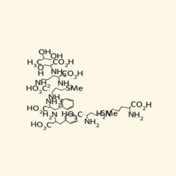 CC(O)CO.CSCC[C@H](N)C(=O)O.CSCC[C@H](N)C(=O)O.NCCC[C@H](N)C(=O)O.NCCC[C@H](N)C(=O)O.N[C@@H](CO)C(=O)O.N[C@@H](Cc1ccccc1)C(=O)O.N[C@@H](Cc1ccccc1)C(=O)O